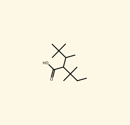 CCC(C)(C)C(C(=O)O)C(C)C(C)(C)C